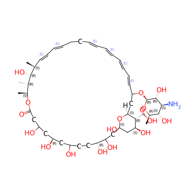 C[C@@H]1[C@H](O)[C@@H](C)/C=C/C=C/CC/C=C/C=C/C=C/C=C/C(O[C@@H]2O[C@H](C)[C@@H](O)[C@H](N)[C@H]2O)C[C@@H]2O[C@](O)(CC(O)[C@H](O)CCC(O)C[C@@H](O)CC(O)CC(=O)O[C@H]1C)C[C@H](O)[C@H]2C(=O)O